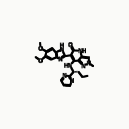 CCC[C@@H](Nc1c(-c2nc3cc(OC)c(OC)cc3[nH]2)c(=O)[nH]c2cn(C)nc12)c1ncccn1